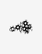 COc1cc(N2CCOCC2)ccc1Nc1ncc(C(F)(F)F)c(N)c1-c1ccccc1-n1cccn1